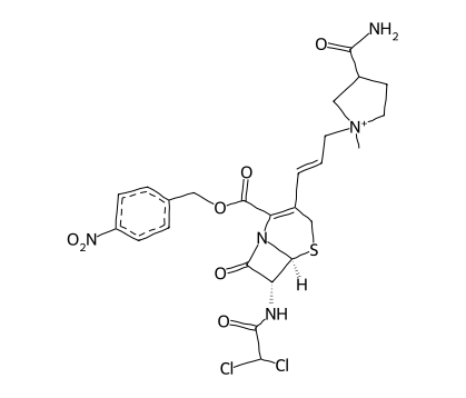 C[N+]1(CC=CC2=C(C(=O)OCc3ccc([N+](=O)[O-])cc3)N3C(=O)[C@@H](NC(=O)C(Cl)Cl)[C@@H]3SC2)CCC(C(N)=O)C1